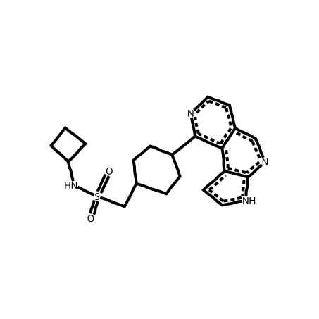 O=S(=O)(CC1CCC(c2nccc3cnc4[nH]ccc4c23)CC1)NC1CCC1